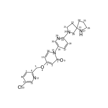 O=c1cc(OCc2ccc(Cl)cn2)ccn1-c1ccc(N2CCC3(CCCN3)C2)nc1